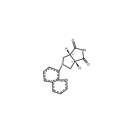 O=C1NC(=O)[C@@H]2CN(c3cccc4cccnc34)C[C@H]12